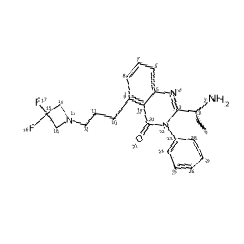 C[C@H](N)c1nc2cccc(CCCN3CC(F)(F)C3)c2c(=O)n1-c1ccccc1